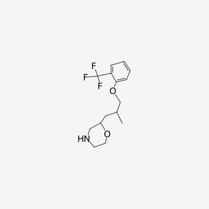 CC(COc1ccccc1C(F)(F)F)CC1CNCCO1